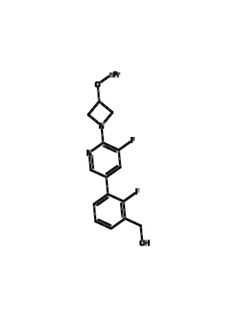 CCCOC1CN(c2ncc(-c3cccc(CO)c3F)cc2F)C1